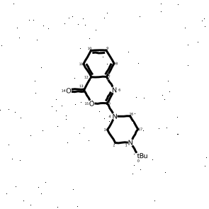 CC(C)(C)N1CCN(c2nc3ccccc3c(=O)o2)CC1